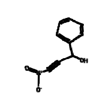 O=[N+]([O-])C#CC(O)c1ccccc1